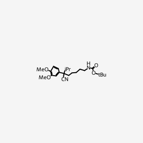 COc1ccc(C(C#N)(CCCCCNC(=O)OC(C)(C)C)C(C)C)cc1OC